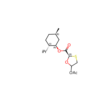 CC(=O)OC1CS[C@H](C(=O)O[C@@H]2C[C@H](C)CC[C@H]2C(C)C)O1